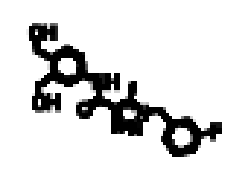 Cc1c(C(=O)Nc2ccc(CO)c(CO)c2)nnn1Cc1cccc(F)c1